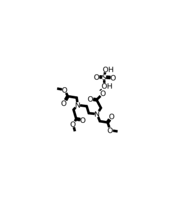 COC(=O)CN(CCN(CC(=O)OC)CC(=O)OC)CC(=O)OC.O=S(=O)(O)O